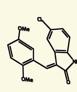 COc1ccc(OC)c(/C=C2/C(=O)Nc3ccc(Cl)cc32)c1